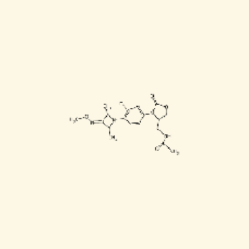 CON=C1C(C)N(c2ccc(N3C(=O)OCC3CNC(C)=O)cc2F)C1C